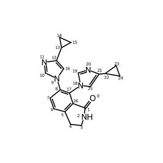 O=C1NCCc2ccc(-n3cnc(C4CC4)c3)c(-n3cnc(C4CC4)c3)c21